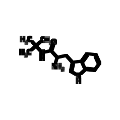 CC(C)(C)NC(=O)C(N)Cc1c[nH]c2ccccc12